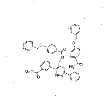 COC(=O)c1cccc(-c2nnc(-c3ccccc3NC(=O)c3ccc(OCc4ccccc4)cc3)cc2COC(=O)c2ccc(OCc3ccccc3)cc2)c1